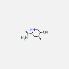 C=C1CC(C(=C)N)NCC1C#N